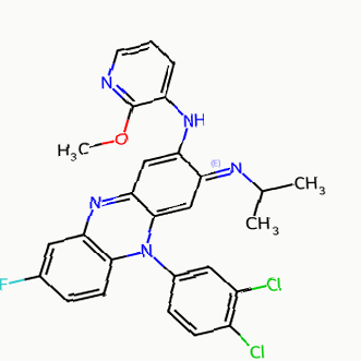 COc1ncccc1Nc1cc2nc3cc(F)ccc3n(-c3ccc(Cl)c(Cl)c3)c-2c/c1=N\C(C)C